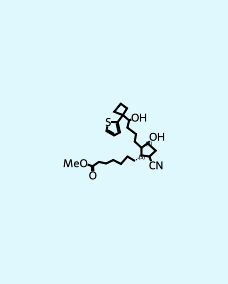 COC(=O)CCCCCC[C@H]1C(C#N)C[C@@H](O)C1CCCC(O)C1(c2cccs2)CCC1